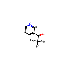 [2H]C([2H])([2H])C(=O)c1cccnc1